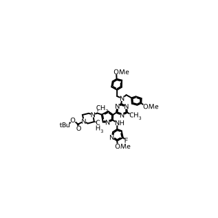 COc1ccc(CN(Cc2ccc(OC)cc2)c2nc(C)nc(-c3cc([C@@H](C)N4CCN(C(=O)OC(C)(C)C)C[C@@H]4C)cnc3Nc3cnc(OC)c(F)c3)n2)cc1